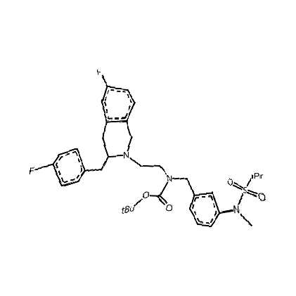 CC(C)S(=O)(=O)N(C)c1cccc(CN(CCN2Cc3ccc(F)cc3CC2Cc2ccc(F)cc2)C(=O)OC(C)(C)C)c1